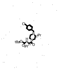 CC(C)[C@H](NC(=O)OC(C)(C)C)C(=O)N1CCN(Cc2ccc(Cl)cc2)[C@H](C(C)C)C1